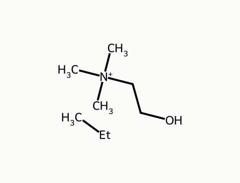 CCC.C[N+](C)(C)CCO